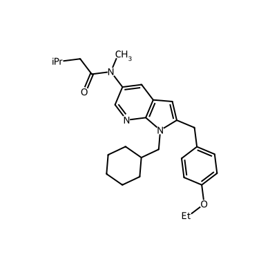 CCOc1ccc(Cc2cc3cc(N(C)C(=O)CC(C)C)cnc3n2CC2CCCCC2)cc1